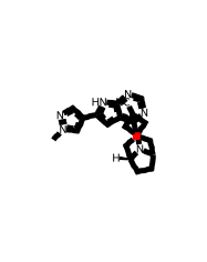 Cn1cc(-c2cc3c(N4CC5CC[C@H](C4)N5C4CC(C#N)C4)ncnc3[nH]2)cn1